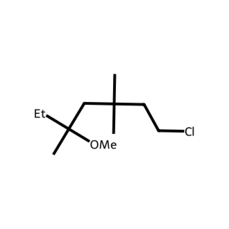 CCC(C)(CC(C)(C)CCCl)OC